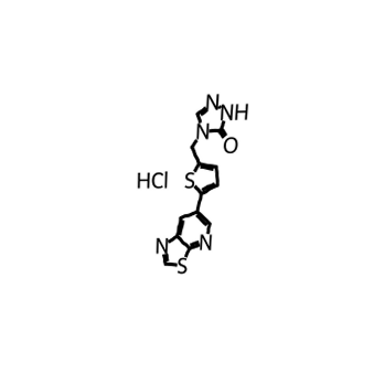 Cl.O=c1[nH]ncn1Cc1ccc(-c2cnc3scnc3c2)s1